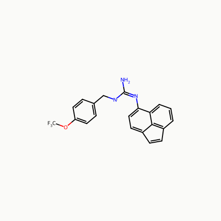 NC([N]Cc1ccc(OC(F)(F)F)cc1)=Nc1ccc2c3c(cccc13)C=C2